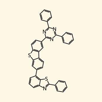 c1ccc(-c2nc(-c3ccccc3)nc(-c3ccc4sc5cc(-c6cccc7nc(-c8ccccc8)sc67)ccc5c4c3)n2)cc1